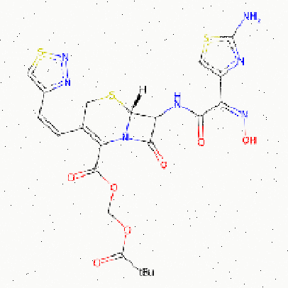 CC(C)(C)C(=O)OCOC(=O)C1=C(/C=C\c2csnn2)CS[C@@H]2C(NC(=O)/C(=N\O)c3csc(N)n3)C(=O)N12